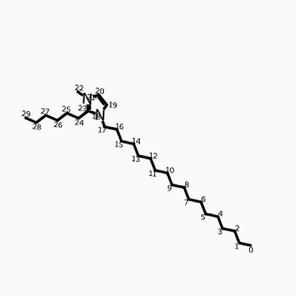 CCCCCCCCCCCCCCCCCCn1cc[n+](C)c1CCCCCC